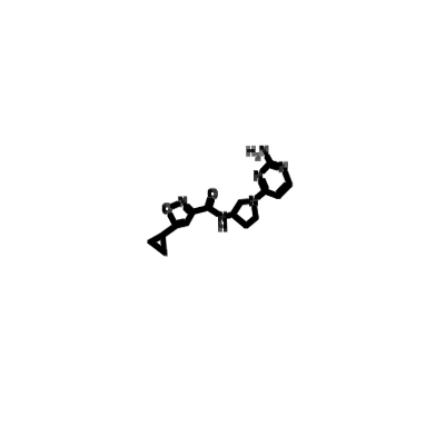 Nc1nccc(N2CCC(NC(=O)c3cc(C4CC4)on3)C2)n1